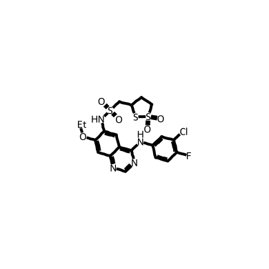 CCOc1cc2ncnc(Nc3ccc(F)c(Cl)c3)c2cc1NS(=O)(=O)CC1CCS(=O)(=O)S1